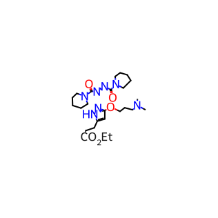 CCOC(=O)CCc1cc(OCCCN(C)C)n[nH]1.O=C(N=NC(=O)N1CCCCC1)N1CCCCC1